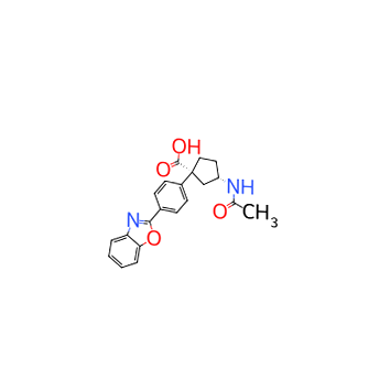 CC(=O)N[C@H]1CC[C@](C(=O)O)(c2ccc(-c3nc4ccccc4o3)cc2)C1